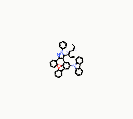 C=C/C(=C\C=C/C)c1c(-c2cc(-n3c4ccccc4c4ccccc43)cc3c2oc2ccccc23)c(-c2ccccc2)nn1-c1ccccc1